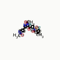 CC(=O)N(c1ccc(F)c(C(=O)c2cn(C(C)=O)c3ncc(-c4ccc5c(cnn5C(C)=O)c4)cc23)c1F)[S+]([O-])c1cc(C)ccc1F